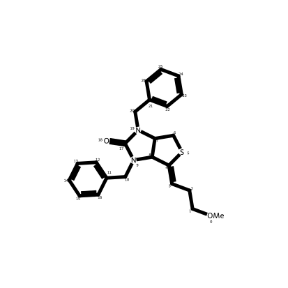 COCC/C=C1\SCC2C1N(Cc1ccccc1)C(=O)N2Cc1ccccc1